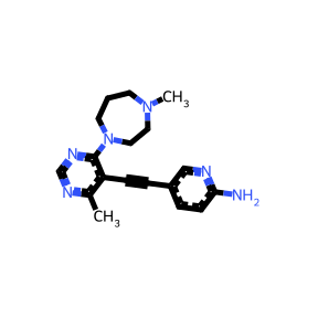 Cc1ncnc(N2CCCN(C)CC2)c1C#Cc1ccc(N)nc1